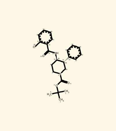 CC(C)(C)OC(=O)N1CC[C@@H](NC(=O)c2ccccc2Cl)[C@H](c2ccccc2)C1